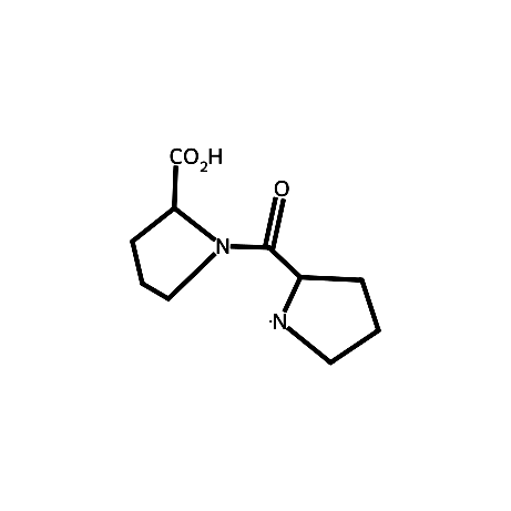 O=C(O)C1CCCN1C(=O)C1CCC[N]1